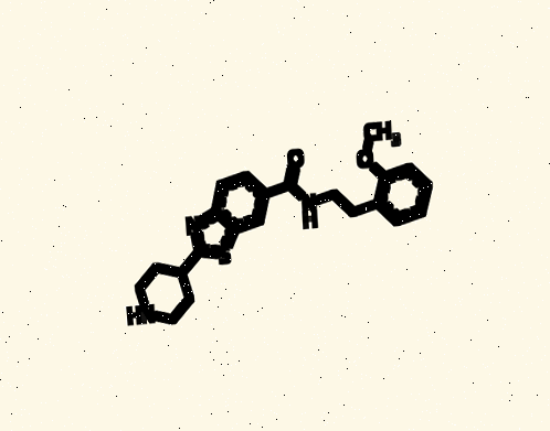 COc1ccccc1CCNC(=O)c1ccc2nc(C3CCNCC3)sc2c1